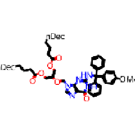 CCCCCCCCCCCCCC(=O)OCC(COC(=O)CCCCCCCCCCCCC)OCn1cnc2c(=O)[nH]c(NC(c3ccccc3)(c3ccccc3)c3ccc(OC)cc3)nc21